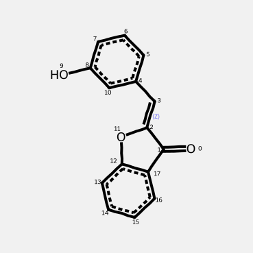 O=C1/C(=C/c2cccc(O)c2)Oc2ccccc21